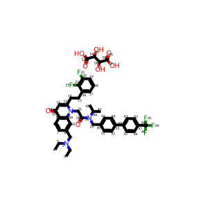 CCN(CC)Cc1ccc2c(=O)cc(CCc3cccc(F)c3F)n(CC(=O)N(Cc3ccc(-c4ccc(C(F)(F)F)cc4)cc3)C(C)C)c2c1.O=C(O)C(O)C(O)C(=O)O